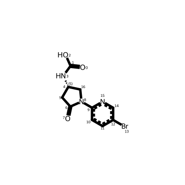 O=C(O)N[C@H]1CC(=O)N(c2ccc(Br)cn2)C1